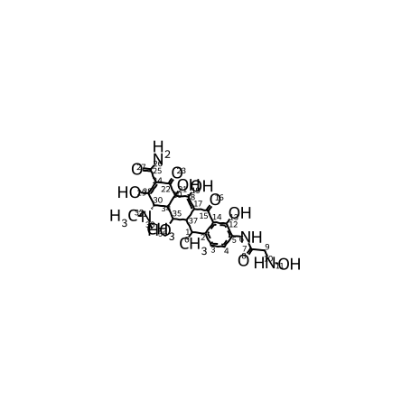 CC1c2ccc(NC(=O)CNO)c(O)c2C(=O)C2=C(O)C3(O)C(=O)C(C(N)=O)=C(O)[C@@H](N(C)C)C3C(O)C21